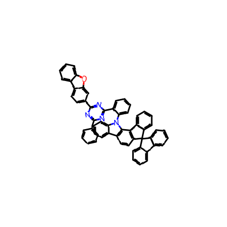 c1ccc(-c2nc(-c3ccc4c(c3)oc3ccccc34)nc(-c3ccccc3-n3c4ccccc4c4ccc5c(c43)-c3ccccc3C53c4ccccc4-c4ccccc43)n2)cc1